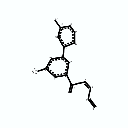 C=C/C=C\C(=C)c1cc(C#N)cc(-c2cccc(C)c2)c1